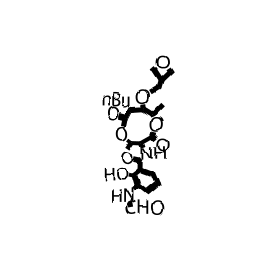 CCCCC1C(=O)OC(C)C(NC(=O)c2cccc(NC=O)c2O)C(=O)OC(C)C1OCC1COC1